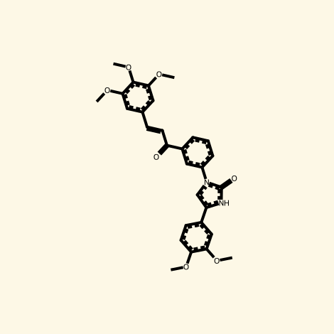 COc1ccc(-c2cn(-c3cccc(C(=O)C=Cc4cc(OC)c(OC)c(OC)c4)c3)c(=O)[nH]2)cc1OC